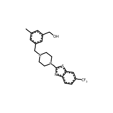 Cc1cc(CO)cc(CN2CCN(c3nc4ccc(C(F)(F)F)cc4s3)CC2)c1